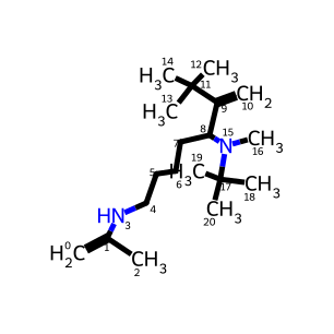 C=C(C)NCCCCC(C(=C)C(C)(C)C)N(C)C(C)(C)C